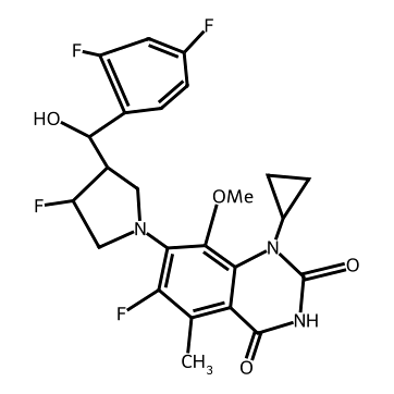 COc1c(N2CC(F)C(C(O)c3ccc(F)cc3F)C2)c(F)c(C)c2c(=O)[nH]c(=O)n(C3CC3)c12